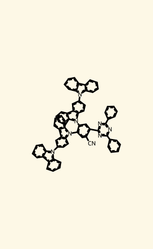 N#Cc1cc(-n2c3ccccc3c3cc(-n4c5ccccc5c5ccccc54)ccc32)c(-n2c3ccccc3c3cc(-n4c5ccccc5c5ccccc54)ccc32)cc1-c1nc(-c2ccccc2)nc(-c2ccccc2)n1